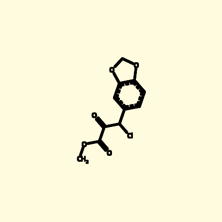 COC(=O)C(=O)C(Cl)c1ccc2c(c1)OCO2